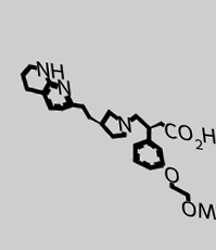 COCCOc1cccc([C@H](CC(=O)O)CN2CC[C@@H](CCc3ccc4c(n3)NCCC4)C2)c1